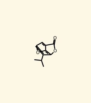 CC(C)c1c2c3oc1cc3C(=O)O2